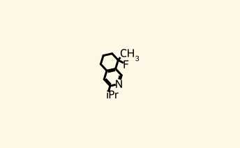 CC(C)c1cc2c(cn1)C(C)(F)CCC2